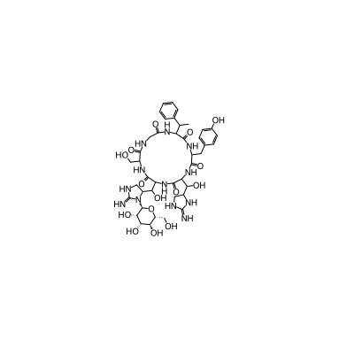 CC(c1ccccc1)C1NC(=O)CNC(=O)C(CO)NC(=O)C(C(O)C2CNC(=N)N2[C@H]2O[C@H](CO)[C@@H](O)[C@H](O)[C@@H]2O)NC(=O)C(C(O)C2CNC(=N)N2)NC(=O)C(Cc2ccc(O)cc2)NC1=O